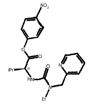 CCN(Cc1ccccn1)C(=O)N[C@H](C(=O)Oc1ccc([N+](=O)[O-])cc1)C(C)C